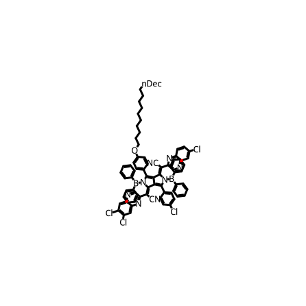 CCCCCCCCCCCCCCCCCCCCOc1ccc(-c2c3/c(=C(\C#N)c4cnc5cc(Cl)ccc5n4)n(B(c4ccccc4)c4ccccc4)c(-c4ccc(Cl)cc4)c3/c(=C(\C#N)c3cnc4cc(Cl)c(Cl)cc4n3)n2B(c2ccccc2)c2ccccc2)cc1